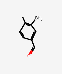 Bc1cc(C=O)ccc1C